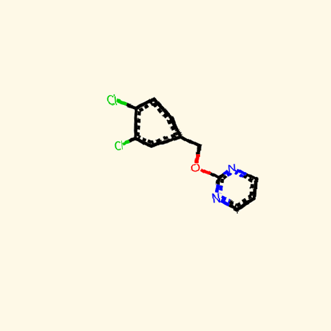 Clc1ccc(COc2n[c]ccn2)cc1Cl